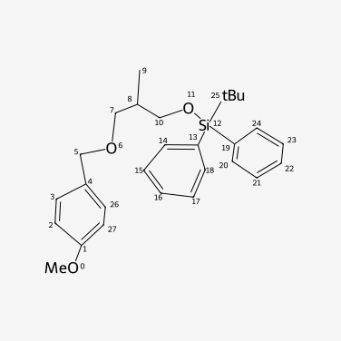 COc1ccc(COCC(C)CO[Si](c2ccccc2)(c2ccccc2)C(C)(C)C)cc1